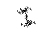 COc1cc(C=CC(=O)OCCCC[Si](C)(O[Si](C)(C)C)O[Si](C)(C)C)cc(OC)c1OC